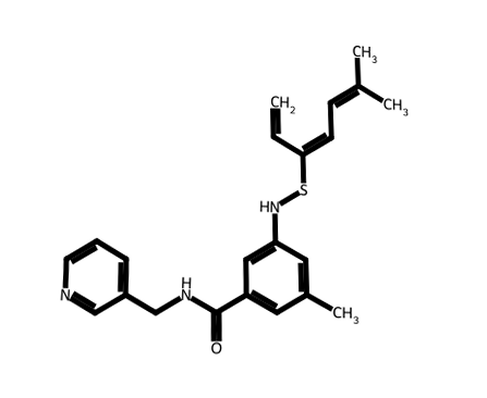 C=C/C(=C\C=C(C)C)SNc1cc(C)cc(C(=O)NCc2cccnc2)c1